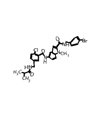 CC(C)C(=O)NCc1ccc(Cl)c(C(=O)Nc2ccc3c(c2)cc(C(=O)NCc2ccc(Br)cc2)n3C)c1